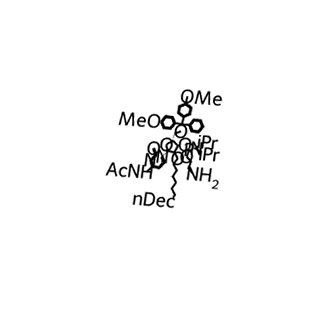 CCCCCCCCCCCCCCCCOC1C(OP(OCCN)N(C(C)C)C(C)C)[C@@H](COC(c2ccccc2)(c2ccc(OC)cc2)c2ccc(OC)cc2)O[C@H]1n1ccc(NC(C)=O)nc1=O